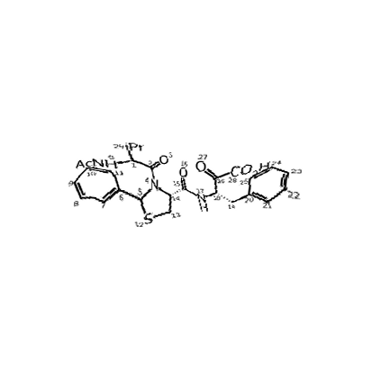 CC(=O)N[C@H](C(=O)N1C(c2ccccc2)SC[C@H]1C(=O)N[C@@H](Cc1ccccc1)C(=O)C(=O)O)C(C)C